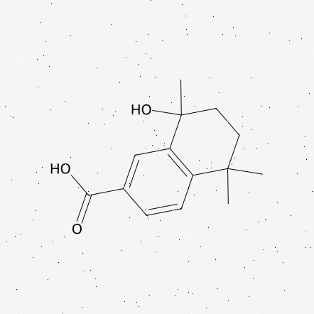 CC1(C)CCC(C)(O)c2cc(C(=O)O)ccc21